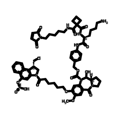 COc1cc2c(cc1OCCCCCC(=O)N1C[C@@H](CCl)c3c1cc(O[PH](=O)O)c1ccccc31)N(C(=O)OCc1ccc(NC(=O)[C@H](CCCCN)NC(=O)C3(C(=O)NCCCCCN4C(=O)C=CC4=O)CCC3)cc1)C(O)[C@@H]1CCCN1C2=O